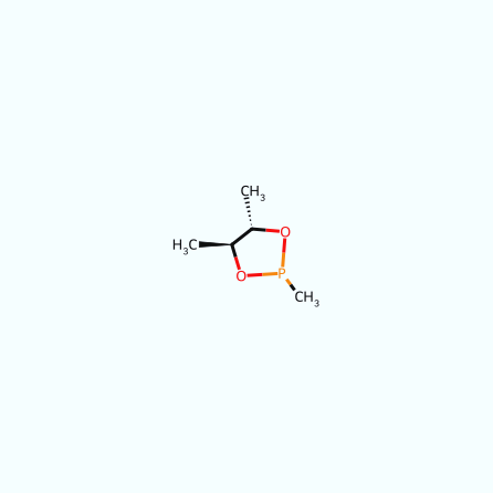 C[C@@H]1OP(C)O[C@H]1C